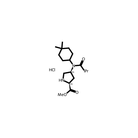 COC(=O)[C@@H]1C[C@H](N(C(=O)C(C)C)C2CCC(C)(C)CC2)CN1.Cl